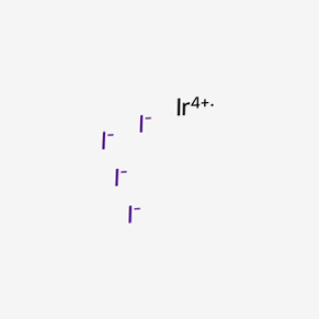 [I-].[I-].[I-].[I-].[Ir+4]